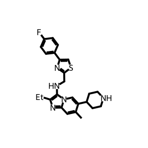 CCc1nc2cc(C)c(C3CCNCC3)cn2c1NCc1nc(-c2ccc(F)cc2)cs1